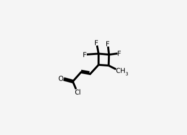 CC1C(C=CC(=O)Cl)C(F)(F)C1(F)F